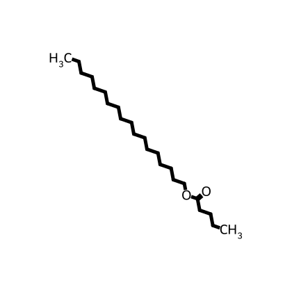 CCCCCCCCCCCCCCCCCCOC(=O)CCCC